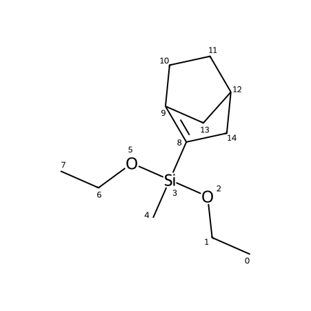 CCO[Si](C)(OCC)C1=C2CCC(C2)C1